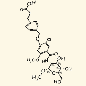 COc1cc(OCc2ccc(CCC(=O)O)cc2)c(Cl)cc1C(=O)N[C@H]1[C@@H](OC)O[C@H](CO)[C@@H](O)[C@@H]1O